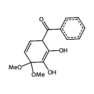 COC1(OC)C=CC(C(=O)c2ccccc2)C(O)=C1O